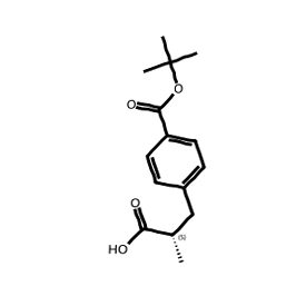 C[C@@H](Cc1ccc(C(=O)OC(C)(C)C)cc1)C(=O)O